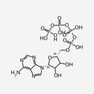 Nc1ncnc2c1ncn2[C@@H]1O[C@H](COP(=O)(O)OP(=O)(O)OP(=O)(O)OP(=O)(O)O)C(O)C1O